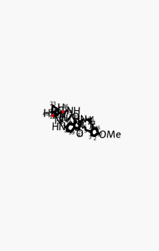 COc1ccc(CCn2c(NC3CC3)nc3cc(N/C(=N/C4C[C@H]5C[C@@H]([C@@H]4C)C5(C)C)N4CC(=O)N[C@@H](C)C4)ccc3c2=O)c(F)c1